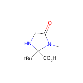 CN1C(=O)CNC1(C(=O)O)C(C)(C)C